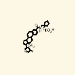 C[C@]12CCC3c4ccc(C(=O)NCC5(OC(=O)O)CCCC5)cc4CCC3C1CC=C2c1cncc(F)c1